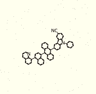 N#Cc1ccc2c(c1)c1cc(-c3c4ccccc4c(-c4ccc(-c5cccc6cccnc56)c5ccccc45)c4ccccc34)ccc1n2-c1ccccc1